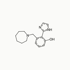 Oc1cccc(CN2CCCCCC2)c1-c1ncc[nH]1